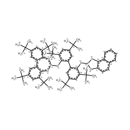 CC(C)(C)c1cc(-c2cc(C(C)(C)C)cc(C(C)(C)C)c2Op2oc3c(C(C)(C)C)cc(C(C)(C)C)cc3c3cc(C(C)(C)C)cc(C(C)(C)C)c3o2)c(OP2Oc3ccc4ccccc4c3O2)c(C(C)(C)C)c1